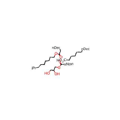 CCCCCCCCCC(=O)OCC(O)CO.CCCCCCCCCCCC(=O)OCCCCCCCC(C)C.CCCCCCCCCCCCCCCC(=O)O